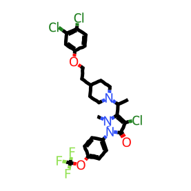 CC(c1c(Cl)c(=O)n(-c2ccc(OC(F)(F)F)cc2)n1C)N1CCC(CCOc2ccc(Cl)c(Cl)c2)CC1